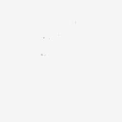 Cc1cc(O)cc(C)c1CC(N)C(=O)N[C@H](C)C(=O)NCCCc1ccc(C#N)cc1